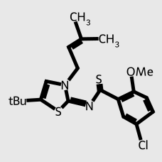 COc1ccc(Cl)cc1C(=S)N=c1sc(C(C)(C)C)cn1CC=C(C)C